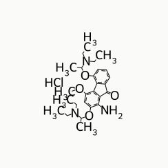 CCN(CC)C(C)Oc1cc(OC)c2c(c1N)C(=O)c1cccc(OC(C)N(CC)CC)c1-2.Cl